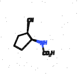 N#C[C@@H]1CCC[C@@H]1NC(=O)O